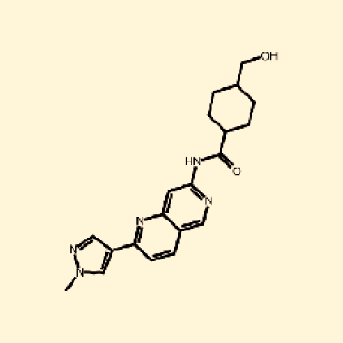 Cn1cc(-c2ccc3cnc(NC(=O)C4CCC(CO)CC4)cc3n2)cn1